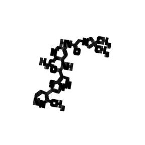 Cc1ncc(NC(=O)CN2CC(C)(C)C2)cc1NC(=O)c1cnn2cc(-c3ccnnc3C)sc12